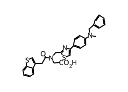 CN(Cc1ccccc1)c1ccc(-c2csc(CN(CC(=O)O)C(=O)Cc3csc4ccccc34)n2)cc1